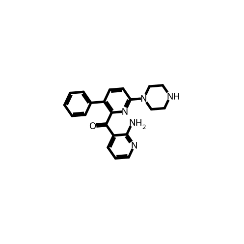 Nc1ncccc1C(=O)c1nc(N2CCNCC2)ccc1-c1ccccc1